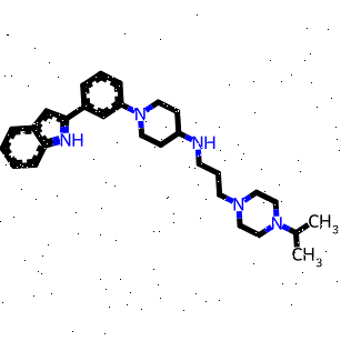 CC(C)N1CCN(CCCNC2CCN(c3cccc(-c4cc5ccccc5[nH]4)c3)CC2)CC1